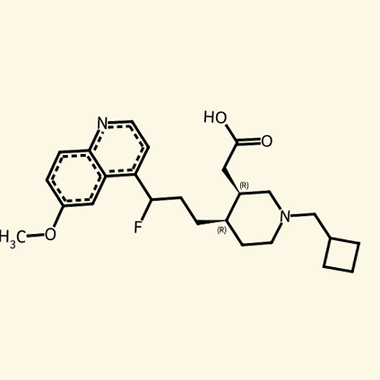 COc1ccc2nccc(C(F)CC[C@@H]3CCN(CC4CCC4)C[C@@H]3CC(=O)O)c2c1